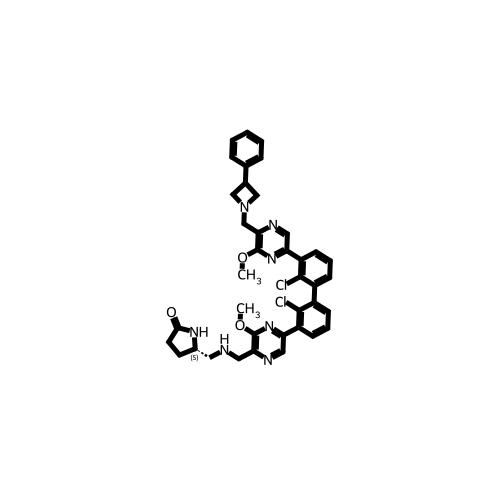 COc1nc(-c2cccc(-c3cccc(-c4cnc(CN5CC(c6ccccc6)C5)c(OC)n4)c3Cl)c2Cl)cnc1CNC[C@@H]1CCC(=O)N1